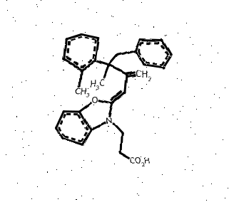 C=C(/C=C1\Oc2ccccc2N1CCC(=O)O)C(C)(Cc1ccccc1)c1ccccc1C